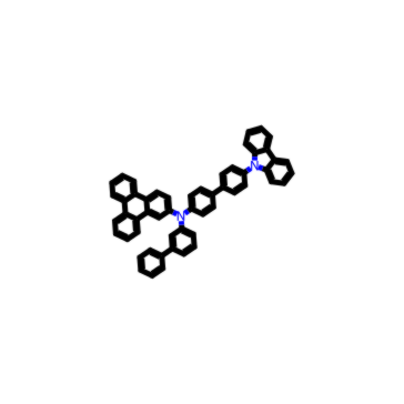 c1ccc(-c2cccc(N(c3ccc(-c4ccc(-n5c6ccccc6c6ccccc65)cc4)cc3)c3ccc4c5ccccc5c5ccccc5c4c3)c2)cc1